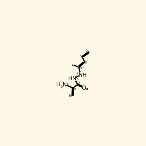 C=C/C=C(\C)NNC(=O)C(=C)N